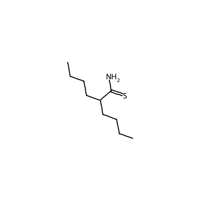 CCCCC(CCCC)C(N)=S